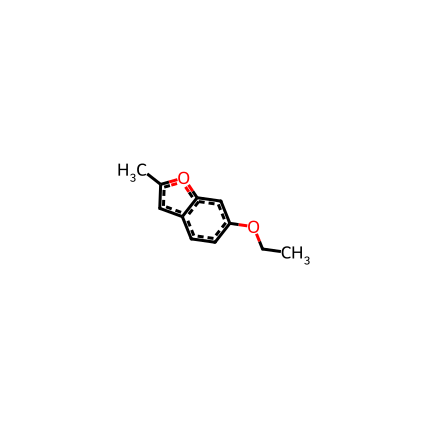 CCOc1ccc2cc(C)oc2c1